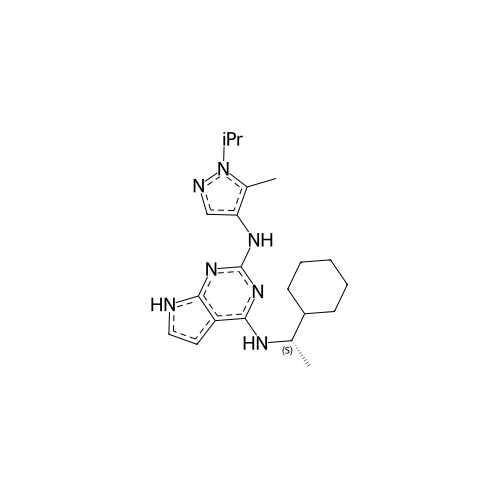 Cc1c(Nc2nc(N[C@@H](C)C3CCCCC3)c3cc[nH]c3n2)cnn1C(C)C